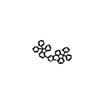 Nc1ncc(-c2cccc3c2-c2ccccc2C3(c2ccccc2)c2ccccc2)cc1-c1cccc2c1-c1ccccc1C2(c1ccccc1)c1ccccc1